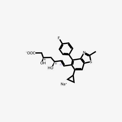 Cc1nc2c(-c3ccc(F)cc3)c(/C=C/[C@@H](O)C[C@@H](O)CC(=O)[O-])c(C3CC3)cc2s1.[Na+]